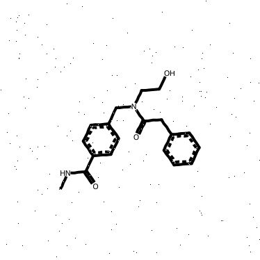 CNC(=O)c1ccc(CN(CCO)C(=O)Cc2ccccc2)cc1